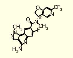 CN(C(=O)c1cc2c(cc1F)nc(N)c1cnn(C)c12)[C@@H]1COc2cc(C(F)(F)F)ncc21